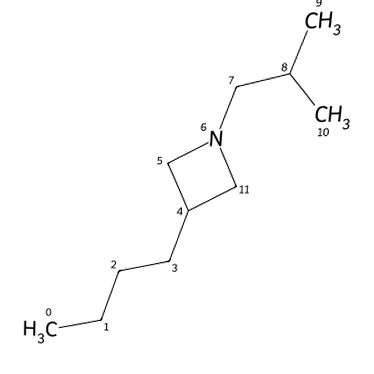 CCCCC1CN(CC(C)C)C1